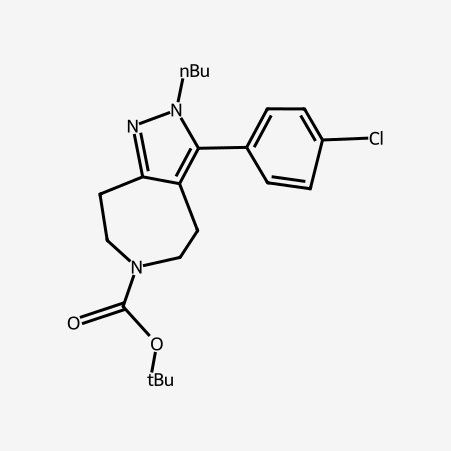 CCCCn1nc2c(c1-c1ccc(Cl)cc1)CCN(C(=O)OC(C)(C)C)CC2